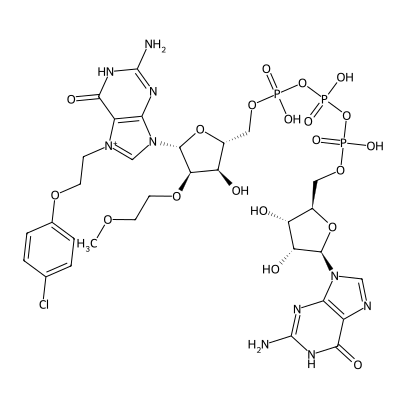 COCCO[C@@H]1[C@H](O)[C@@H](COP(=O)(O)OP(=O)(O)OP(=O)(O)OC[C@H]2O[C@@H](n3cnc4c(=O)[nH]c(N)nc43)[C@H](O)[C@@H]2O)O[C@H]1n1c[n+](CCOc2ccc(Cl)cc2)c2c(=O)[nH]c(N)nc21